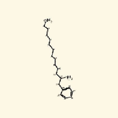 NCCCCCCCCCCCC(N)Cc1ccccc1